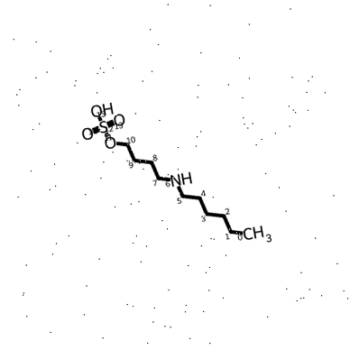 CCCCCCNCCCCOS(=O)(=O)O